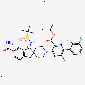 CCOC(=O)c1nc(-c2cccc(Cl)c2Cl)c(C)nc1N1CCC2(CC1)Cc1ccc(C(N)=O)cc1[C@H]2N[S@+]([O-])C(C)(C)C